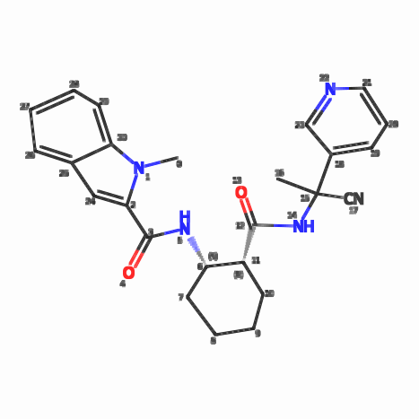 Cn1c(C(=O)N[C@H]2CCCC[C@H]2C(=O)NC(C)(C#N)c2cccnc2)cc2ccccc21